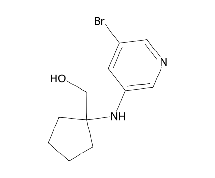 OCC1(Nc2cncc(Br)c2)CCCC1